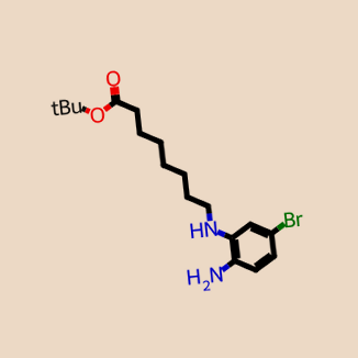 CC(C)(C)OC(=O)CCCCCCCNc1cc(Br)ccc1N